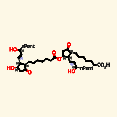 CCCCC[C@H](O)/C=C/[C@H]1[C@H](O)CC(=O)[C@@H]1CCCCCCC(=O)O[C@@H]1CC(=O)[C@H](CCCCCCC(=O)O)[C@H]1/C=C/[C@@H](O)CCCCC